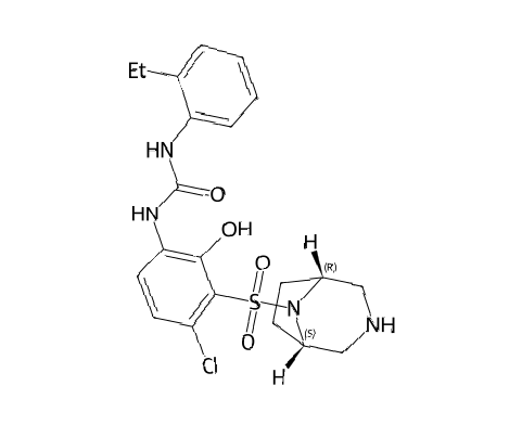 CCc1ccccc1NC(=O)Nc1ccc(Cl)c(S(=O)(=O)N2[C@@H]3CC[C@H]2CNC3)c1O